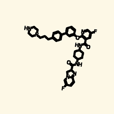 O=C(NC1CCC(NC(=O)C2CN3C=C(F)C=CC3=N2)CC1)c1cc(F)cnc1Oc1cccc(-c2ccc(CCCN3CCNCC3)cc2)c1